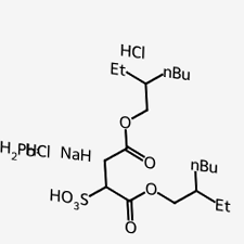 CCCCC(CC)COC(=O)CC(C(=O)OCC(CC)CCCC)S(=O)(=O)O.Cl.Cl.[NaH].[PbH2]